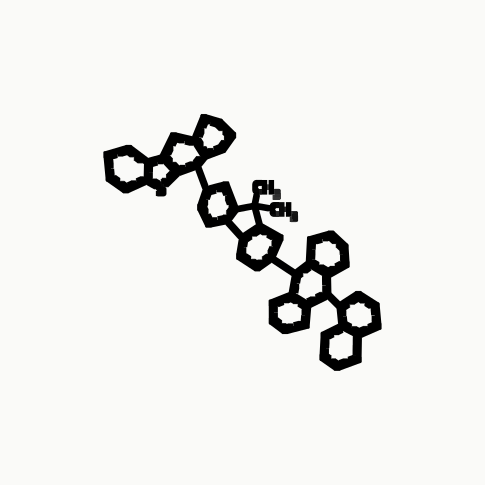 CC1(C)c2cc(-c3c4ccccc4c(-c4cccc5ccccc45)c4ccccc34)ccc2-c2ccc(-c3c4ccccc4cc4c3sc3ccccc34)cc21